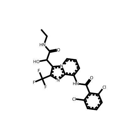 CCNC(=O)C(O)c1c(C(F)(F)F)nc2c(NC(=O)c3c(Cl)cccc3Cl)cccn12